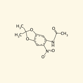 CC(=O)Nc1cc2c(cc1[N+](=O)[O-])OC(C)(C)O2